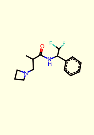 CC(CN1CCC1)C(=O)NC(c1ccccc1)C(F)F